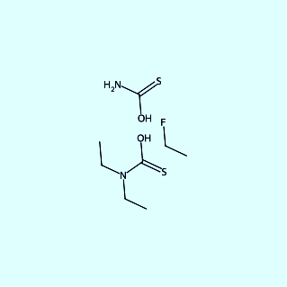 CCF.CCN(CC)C(O)=S.NC(O)=S